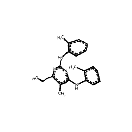 Cc1ccccc1Nc1nc(CO)c(C)c(Nc2ccccc2C)n1